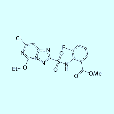 CCOc1nc(Cl)cc2nc(S(=O)(=O)Nc3c(F)cccc3C(=O)OC)nn12